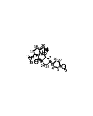 COc1ccc(C2CCC(C(=O)c3c(C4CC4)ccc4cncn34)CC2)cc1